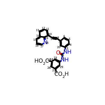 O=C(Nc1cccc(C#Cc2cccc3cccnc23)c1)Nc1cc(C(=O)O)cc(C(=O)O)c1